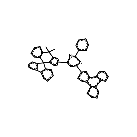 CC1(C)c2ccccc2C2(c3ccccc3-c3ccccc32)c2ccc(-c3cc(-c4ccc5c6ccccc6c6ccccc6c5c4)nc(-c4ccccc4)n3)cc21